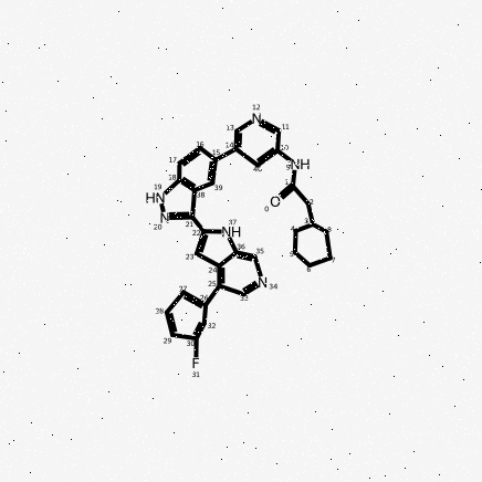 O=C(CC1CCCCC1)Nc1cncc(-c2ccc3[nH]nc(-c4cc5c(-c6cccc(F)c6)cncc5[nH]4)c3c2)c1